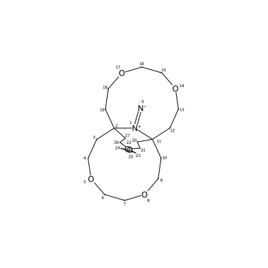 [N-]=[N+]1C23CCOCCOCCC1(CCOCCOCC2)CCOCCOCC3